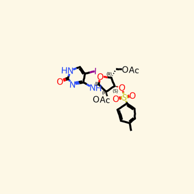 CC(=O)OC[C@H]1O[C@@H](Nc2nc(=O)[nH]cc2I)[C@H](OC(C)=O)[C@H]1OS(=O)(=O)c1ccc(C)cc1